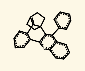 c1ccc(-c2c3c(nc4ccccc24)-c2ccccc2C2=C4CCC23CC4)cc1